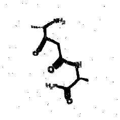 C[C@H](N)C(=O)CC(=O)N[C@@H](C)C(=O)P